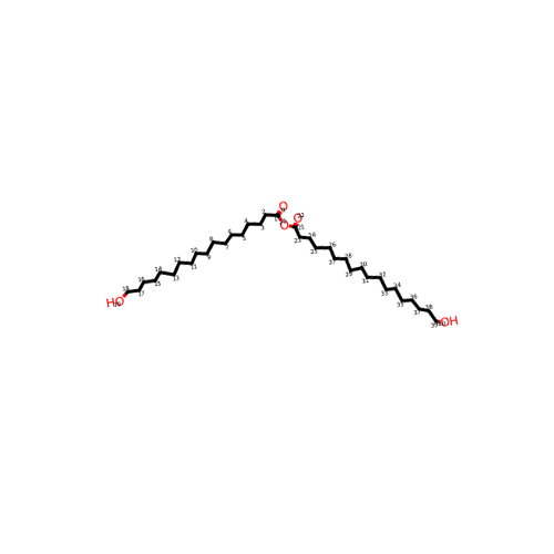 O=C(CCCCCCCCCCCCCCCCCO)OC(=O)CCCCCCCCCCCCCCCCCO